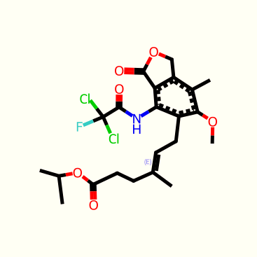 COc1c(C)c2c(c(NC(=O)C(F)(Cl)Cl)c1C/C=C(\C)CCC(=O)OC(C)C)C(=O)OC2